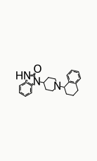 O=c1[nH]c2ccccc2n1C1CCN(C2CCCc3ccccc32)CC1